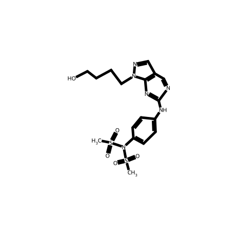 CS(=O)(=O)N(c1ccc(Nc2ncc3cnn(CCCCO)c3n2)cc1)S(C)(=O)=O